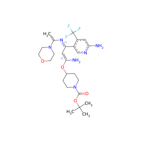 C=C(/N=C(\C=C(/N)OC1CCN(C(=O)OC(C)(C)C)CC1)c1cnc(N)cc1C(F)(F)F)N1CCOCC1